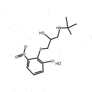 CC(C)(C)NCC(O)CSc1c(Cl)cccc1[N+](=O)[O-].Cl